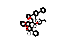 CCC1C[N+]2(Cc3cc(-c4ccccc4)ccc3-c3ccccc3)CCC1CC2[C@@H](Oc1cc(-c2ccccc2)cc(Cl)c1-c1ccccc1)c1ccnc2ccc(O)cc12